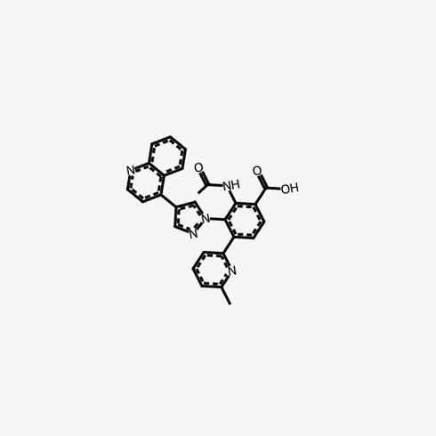 CC(=O)Nc1c(C(=O)O)ccc(-c2cccc(C)n2)c1-n1cc(-c2ccnc3ccccc23)cn1